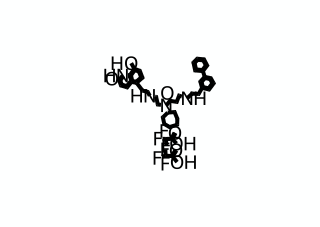 O=C(CCNCCc1cccc(-c2ccccc2)c1)N(CCNCCc1ccc(O)c2[nH]c(=O)ccc12)C1CCCCCC1.O=C(O)C(F)(F)F.O=C(O)C(F)(F)F